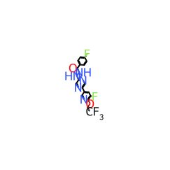 O=C(NNc1cnc(-c2cnc(OCC(F)(F)F)c(F)c2)cn1)c1ccc(F)cc1